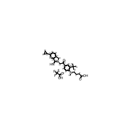 CN(CCCC(=O)O)c1ccc(C(=O)CN2Cc3ccc(C4CC4)nc3C2=N)cc1C(C)(C)C.O=C(O)C(F)(F)F